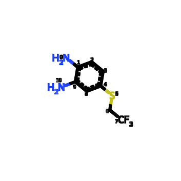 Nc1ccc(SCC(F)(F)F)cc1N